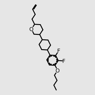 C=CCCC1CCC(C2CCC(c3ccc(OCCCC)c(F)c3F)CC2)CO1